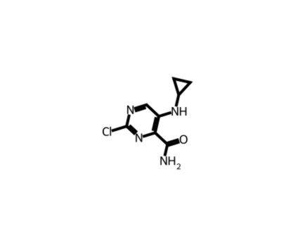 NC(=O)c1nc(Cl)ncc1NC1CC1